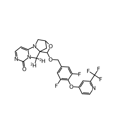 [2H]C1([2H])n2c(ccnc2=O)N2CC3CC21C(OCc1cc(F)c(Oc2ccnc(C(F)(F)F)c2)c(F)c1)O3